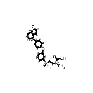 CC(=O)N(C)CCN(C)c1cncc(Oc2ccc(-c3cncc4[nH]ccc34)cc2)n1